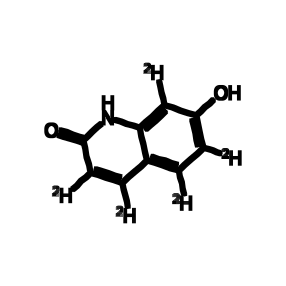 [2H]c1c(O)c([2H])c2[nH]c(=O)c([2H])c([2H])c2c1[2H]